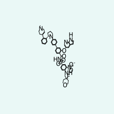 CN1CC=C(c2ccccc2[C@H]2CCCN2c2ccc(-c3ccc(C(=O)NS(=O)(=O)c4ccc(NCC5(F)CCOCC5)c([N+](=O)[O-])c4)c(Oc4cnc5[nH]ccc5c4)c3)cc2)CC1